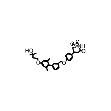 Cc1cc(OCCC(C)(C)O)cc(C)c1-c1cccc(COc2ccc(C3CC(=O)NS(=O)(=O)C3)cc2)c1